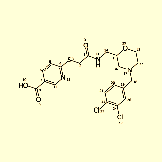 O=C(CSc1ccc(C(=O)O)cn1)NCC1CN(Cc2ccc(Cl)c(Cl)c2)CCO1